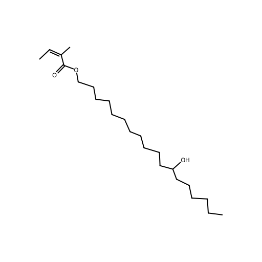 CC=C(C)C(=O)OCCCCCCCCCCCC(O)CCCCCC